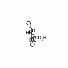 O=C(N[C@@H]1C[C@@H](C(=O)O)N(S(=O)(=O)c2ccccc2)C1)OCc1ccccc1